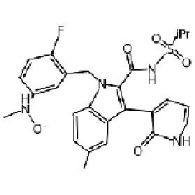 Cc1ccc2c(c1)c(-c1ccc[nH]c1=O)c(C(=O)NS(=O)(=O)C(C)C)n2Cc1cc([NH+](C)[O-])ccc1F